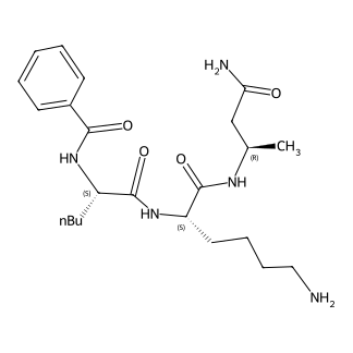 CCCC[C@H](NC(=O)c1ccccc1)C(=O)N[C@@H](CCCCN)C(=O)N[C@H](C)CC(N)=O